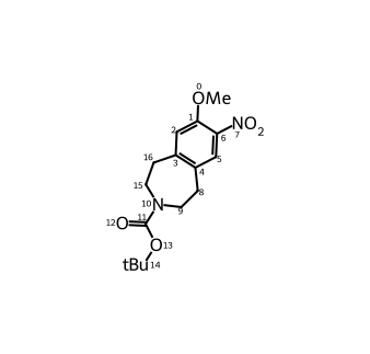 COc1cc2c(cc1[N+](=O)[O-])CCN(C(=O)OC(C)(C)C)CC2